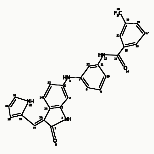 O=C1Nc2cc(Nc3cccc(NC(=O)c4cccc(C(F)(F)F)c4)c3)ccc2C1=Cc1ccc[nH]1